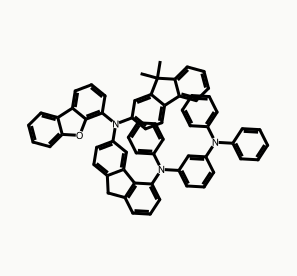 CC1(C)c2ccccc2-c2ccc(N(c3ccc4c(c3)-c3c(cccc3N(c3ccccc3)c3cccc(N(c5ccccc5)c5ccccc5)c3)C4)c3cccc4c3oc3ccccc34)cc21